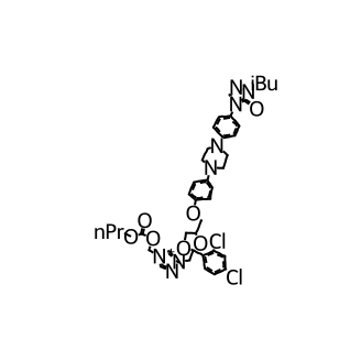 CCCOC(=O)OC[n+]1cnn(CC2(c3ccc(Cl)cc3Cl)OCC(COc3ccc(N4CCN(c5ccc(-n6cnn(C(C)CC)c6=O)cc5)CC4)cc3)O2)c1